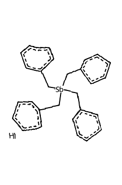 I.c1ccc([CH2][Sb]([CH2]c2ccccc2)([CH2]c2ccccc2)[CH2]c2ccccc2)cc1